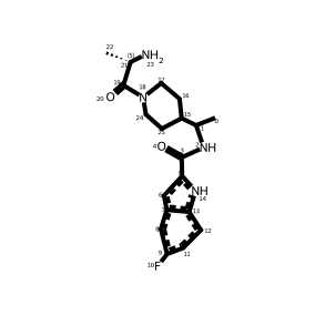 CC(NC(=O)c1cc2cc(F)ccc2[nH]1)C1CCN(C(=O)[C@H](C)N)CC1